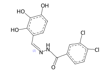 O=C(N/N=C\c1ccc(O)c(O)c1O)c1ccc(Cl)c(Cl)c1